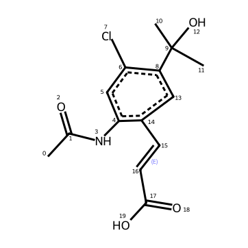 CC(=O)Nc1cc(Cl)c(C(C)(C)O)cc1/C=C/C(=O)O